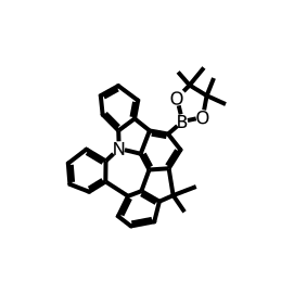 CC1(C)c2cccc3c2-c2c1cc(B1OC(C)(C)C(C)(C)O1)c1c4ccccc4n(c21)-c1ccccc1-3